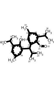 Cc1cc(C(C)C)c(O)c(C(c2cc(C)cc(C(C)C)c2N=O)C(C)C)c1